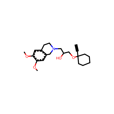 C#CC1(OCC(O)CN2CCc3cc(OC)c(OC)cc3C2)CCCCC1